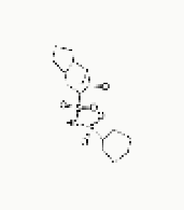 O=C1C2CC(C3CCCC23)C1S(=O)(=O)NS(=O)(=O)C1CCCCC1